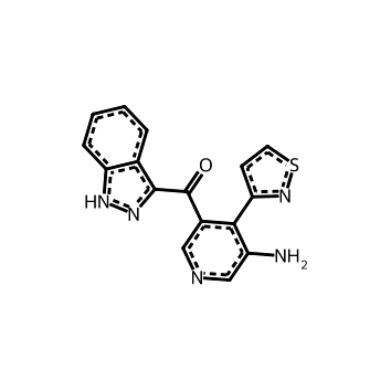 Nc1cncc(C(=O)c2n[nH]c3ccccc23)c1-c1ccsn1